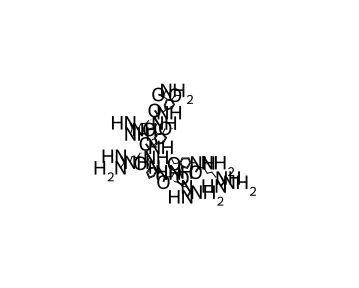 COc1ccc(NC(=O)[C@@H](CCCNC(=N)N)NC(=O)c2cc(NC(=O)[C@@H](CCCNC(=N)N)NC(=O)c3cccc(NC(=O)[C@@H](CCCNC(=N)N)NC(=O)c4cc(NC(=O)[C@H](N)CCCNC(=N)N)ccc4OC)n3)ccc2OC)cc1C(N)=O